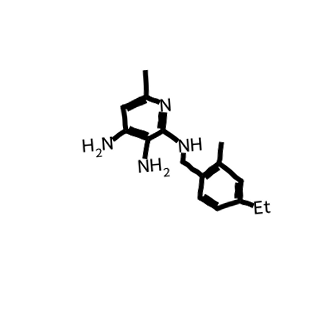 CCc1ccc(CNc2nc(C)cc(N)c2N)c(C)c1